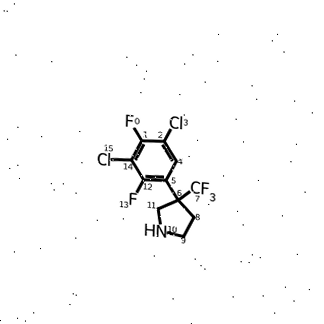 Fc1c(Cl)cc(C2(C(F)(F)F)CCNC2)c(F)c1Cl